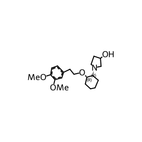 COc1ccc(CCO[C@@H]2CCCC[C@H]2N2CCC(O)C2)cc1OC